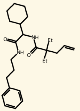 C=CCC(CC)(CC)C(=O)NC(C(=O)NCCCc1ccccc1)C1CCCCC1